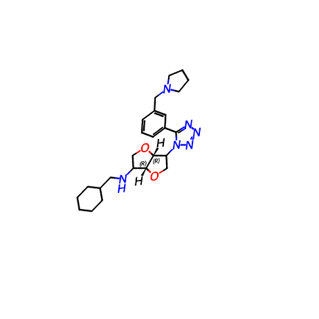 c1cc(CN2CCCC2)cc(-c2nnnn2C2CO[C@@H]3C(NCC4CCCCC4)CO[C@H]23)c1